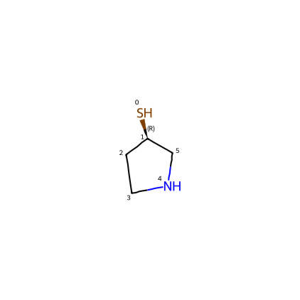 S[C@@H]1CCNC1